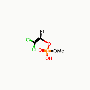 CCC(OP(=O)(O)OC)=C(Cl)Cl